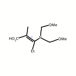 CC/C(=C(/C)C(=O)O)N(COC)COC